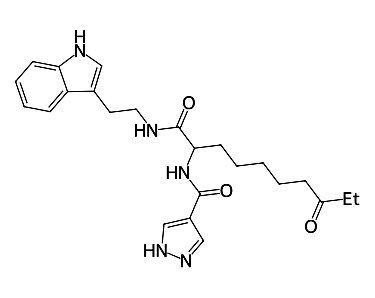 CCC(=O)CCCCCC(NC(=O)c1cn[nH]c1)C(=O)NCCc1c[nH]c2ccccc12